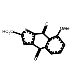 COc1cccc2c1C(=O)c1sc(C(=O)O)cc1C2=O